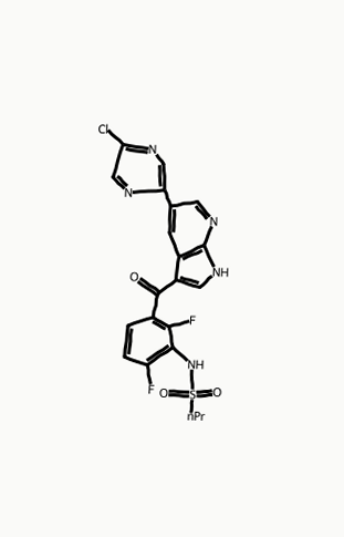 CCCS(=O)(=O)Nc1c(F)ccc(C(=O)c2c[nH]c3ncc(-c4cnc(Cl)cn4)cc23)c1F